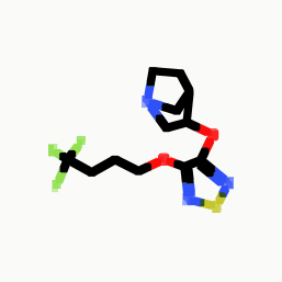 FC(F)(F)CCCOc1nsnc1OC1CN2CCC1C2